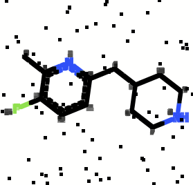 Cc1nc(CC2CCNCC2)ccc1F